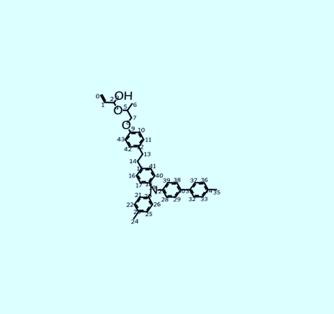 C=CC(O)OC(C)COc1ccc(CCc2ccc(N(c3ccc(C)cc3)c3ccc(-c4ccc(C)cc4)cc3)cc2)cc1